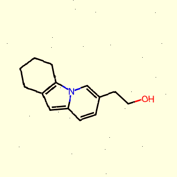 OCCc1ccc2cc3c(n2c1)CCCC3